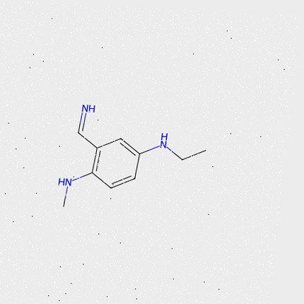 CCNc1ccc(NC)c(C=N)c1